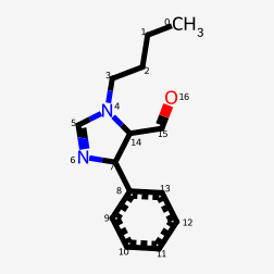 CCCCN1C=NC(c2ccccc2)C1C=O